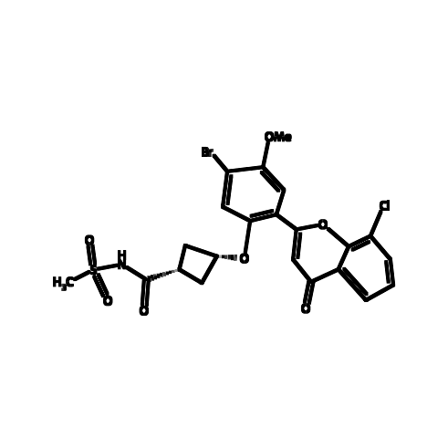 COc1cc(-c2cc(=O)c3cccc(Cl)c3o2)c(O[C@H]2C[C@@H](C(=O)NS(C)(=O)=O)C2)cc1Br